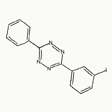 Ic1cccc(-c2nnc(-c3ccccc3)nn2)c1